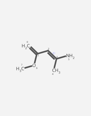 C=C(/C=C(\C)N)OC